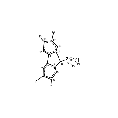 Cc1cc2c(cc1C)[CH]([Zr+2])c1cc(C)c(C)cc1-2.[Cl-].[Cl-]